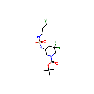 CC(C)(C)OC(=O)N1C[C@H](NS(=O)(=O)NCCCCl)CC(F)(F)C1